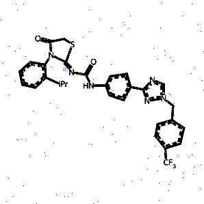 CC(C)c1ccccc1N1C(=O)CS/C1=N\C(=O)Nc1ccc(-c2ncn(Cc3ccc(C(F)(F)F)cc3)n2)cc1